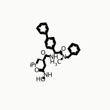 CC(C)C[C@H](CC(=O)NO)C(=O)N[C@@H](C(=O)N(C)Cc1ccccc1)c1ccc(-c2ccccc2)cc1